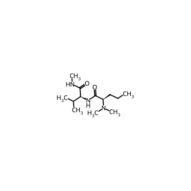 CCC[C@H](C(=O)N[C@H](C(=O)NC)C(C)C)N(C)C